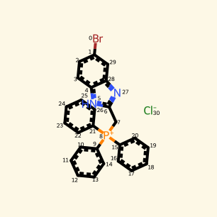 Brc1ccc2[nH]c(C[P+](c3ccccc3)(c3ccccc3)c3ccccc3)nc2c1.[Cl-]